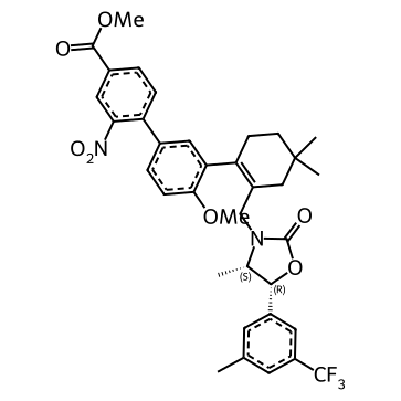 COC(=O)c1ccc(-c2ccc(OC)c(C3=C(CN4C(=O)O[C@H](c5cc(C)cc(C(F)(F)F)c5)[C@@H]4C)CC(C)(C)CC3)c2)c([N+](=O)[O-])c1